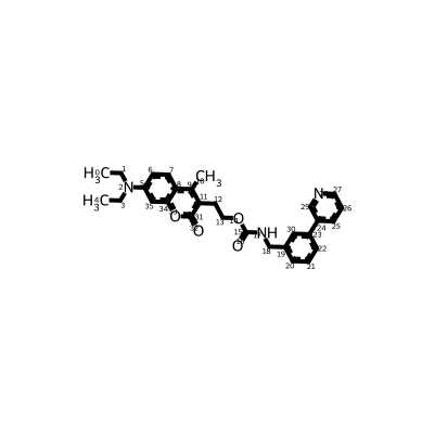 CCN(CC)c1ccc2c(C)c(CCOC(=O)NCc3cccc(-c4cccnc4)c3)c(=O)oc2c1